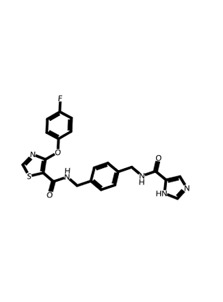 O=C(NCc1ccc(CNC(=O)c2scnc2Oc2ccc(F)cc2)cc1)c1cnc[nH]1